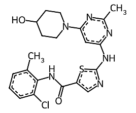 Cc1nc(Nc2ncc(C(=O)Nc3c(C)cccc3Cl)s2)cc(N2CCC(O)CC2)n1